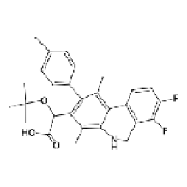 Cc1ccc(-c2c(C)c3c(c(C)c2C(OC(C)(C)C)C(=O)O)NCc2c-3ccc(F)c2F)cc1